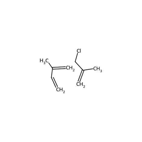 C=C(C)CCl.C=CC(=C)C